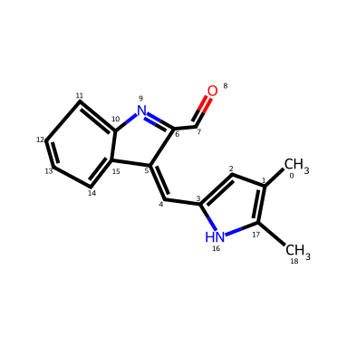 Cc1cc(C=C2C(C=O)=Nc3ccccc32)[nH]c1C